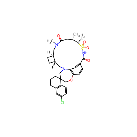 C[C@@H]1[C@@H](C)CC(=O)N(C)C[C@@H]2CC[C@H]2CN2CC3(CCCc4cc(Cl)ccc43)COc3ccc(cc32)C(=O)NS1(=O)=O